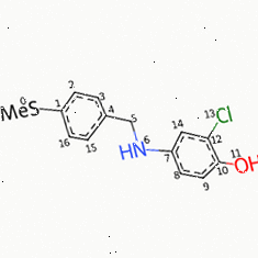 CSc1ccc(CNc2ccc(O)c(Cl)c2)cc1